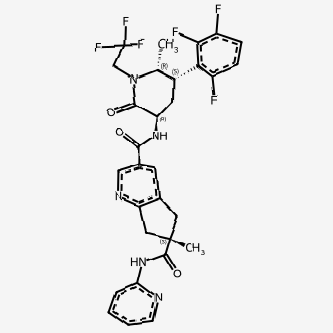 C[C@@H]1[C@H](c2c(F)ccc(F)c2F)C[C@@H](NC(=O)c2cnc3c(c2)C[C@](C)(C(=O)Nc2ccccn2)C3)C(=O)N1CC(F)(F)F